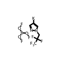 FC(F)(F)C(F)(F)Cn1c[c]([K])cn1.FOB(OF)OF